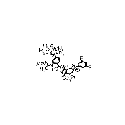 CCOC(=O)n1nc(NC(=O)c2ccc(N(C)C[C@H](C)N(C)C)cc2NC(C)COC)c2c1CCN(S(=O)(=O)c1cc(F)cc(F)c1)C2